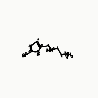 NCCNCc1ccc(Br)s1